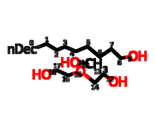 CCCCCCCCCCCCCCCCCCO.CO.OCCOCCO